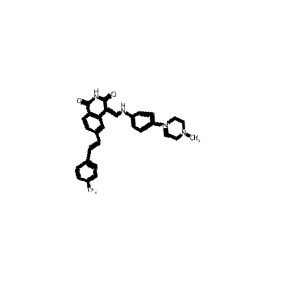 CN1CCN(c2ccc(N/C=C3\C(=O)NC(=O)c4ccc(/C=C/c5ccc(C(F)(F)F)cc5)cc43)cc2)CC1